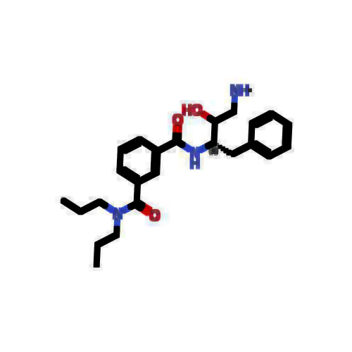 CCCN(CCC)C(=O)c1cccc(C(=O)N[C@@H](Cc2ccccc2)C(O)C[NH])c1